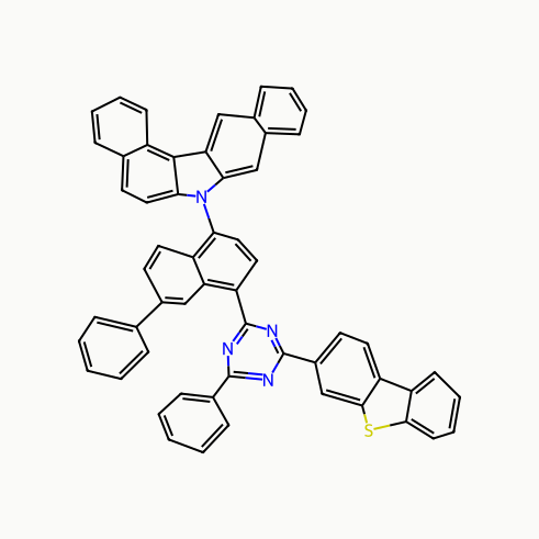 c1ccc(-c2ccc3c(-n4c5cc6ccccc6cc5c5c6ccccc6ccc54)ccc(-c4nc(-c5ccccc5)nc(-c5ccc6c(c5)sc5ccccc56)n4)c3c2)cc1